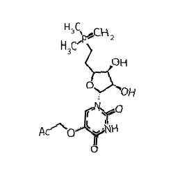 C=P(C)(C)CCC1O[C@@H](n2cc(OCC(C)=O)c(=O)[nH]c2=O)[C@H](O)[C@@H]1O